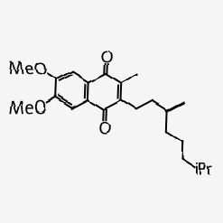 COc1cc2c(cc1OC)C(=O)C(CCC(C)CCCC(C)C)=C(C)C2=O